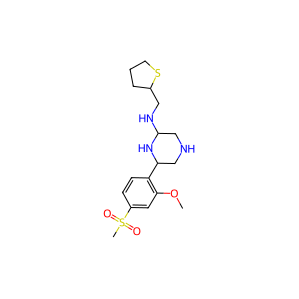 COc1cc(S(C)(=O)=O)ccc1C1CNCC(NCC2CCCS2)N1